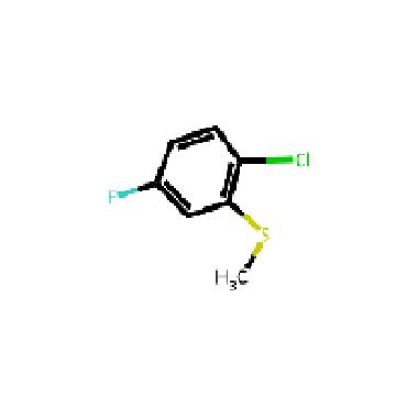 CSc1cc(F)ccc1Cl